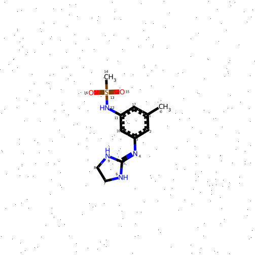 Cc1cc(N=C2NCCN2)cc(NS(C)(=O)=O)c1